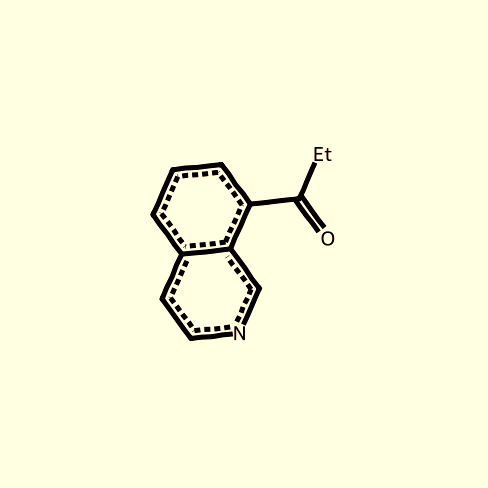 CCC(=O)c1cccc2ccncc12